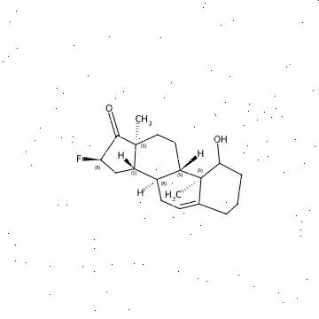 C[C@]12CC[C@H]3[C@@H](CC=C4CCCC(O)[C@@]43C)[C@@H]1C[C@@H](F)C2=O